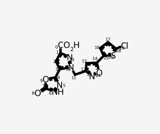 O=C(O)c1cc(-c2n[nH]c(=O)o2)n(Cc2cc(-c3ccc(Cl)s3)on2)n1